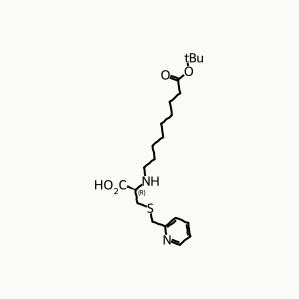 CC(C)(C)OC(=O)CCCCCCCCN[C@@H](CSCc1ccccn1)C(=O)O